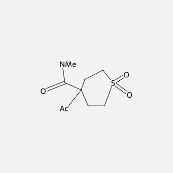 CNC(=O)C1(C(C)=O)CCS(=O)(=O)CC1